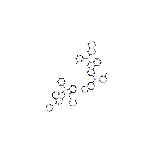 Cc1cccc(N(c2ccc3ccc(-c4ccc5c(-c6ccccc6)c6c(c(-c7ccccc7)c5c4)-c4ccc(-c5ccccc5)c5cccc-6c45)cc3c2)c2ccc3cc(N(c4cccc(C)c4)c4ccc5ccccc5c4)c4ccccc4c3c2)c1